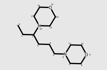 [CH2]CC(CCCN1CCOCC1)N1CCOCC1